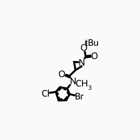 CN(C(=O)C1CN(C(=O)OC(C)(C)C)C1)c1cc(Cl)ccc1Br